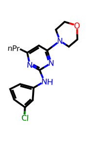 CCCc1cc(N2CCOCC2)nc(Nc2cccc(Cl)c2)n1